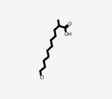 CC(CCCCCCCCCCl)C(=O)O